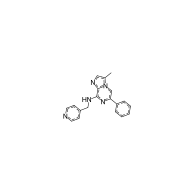 Cc1cnc2c(NCc3ccncc3)nc(-c3ccccc3)cn12